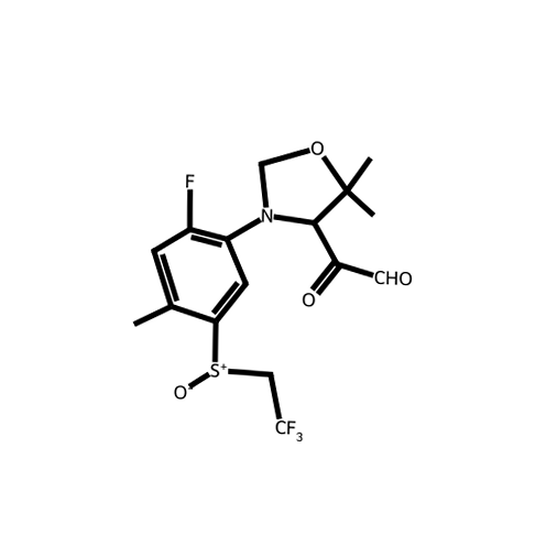 Cc1cc(F)c(N2COC(C)(C)C2C(=O)C=O)cc1[S+]([O-])CC(F)(F)F